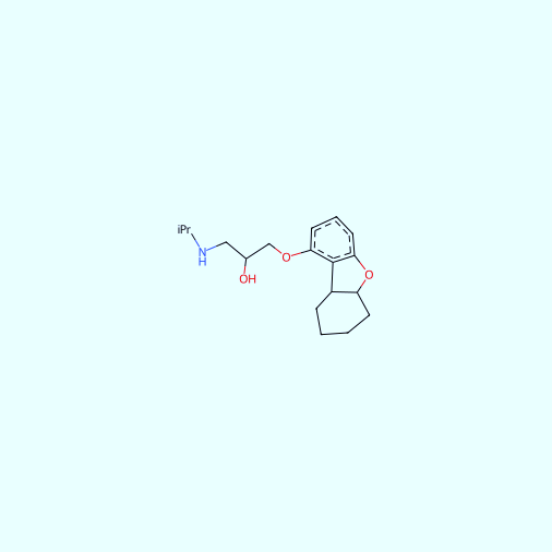 CC(C)NCC(O)COc1cccc2c1C1CCCCC1O2